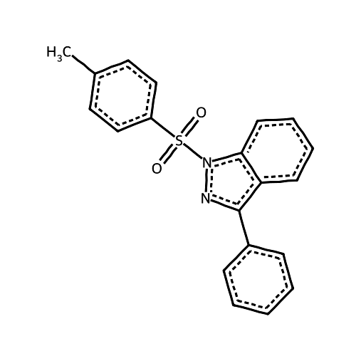 Cc1ccc(S(=O)(=O)n2nc(-c3ccccc3)c3ccccc32)cc1